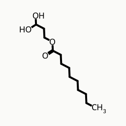 CCCCCCCCCC(=O)OCCC(O)O